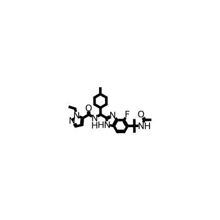 CCn1nccc1C(=O)NC(c1nc2c(F)c(C(C)(C)NC(C)=O)ccc2[nH]1)C1CCC(C)CC1